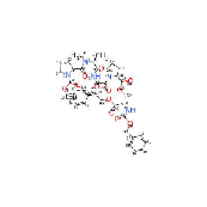 C[C@H](NC(=O)[C@H](C)N(C)C(=O)[C@@H]1CCCN1C(=O)OC(C)(C)C)C(=O)N1CCC[C@H]1C(=O)OC[C@H](NC(=O)OCc1ccccc1)C(=O)OCC(=O)c1ccccc1